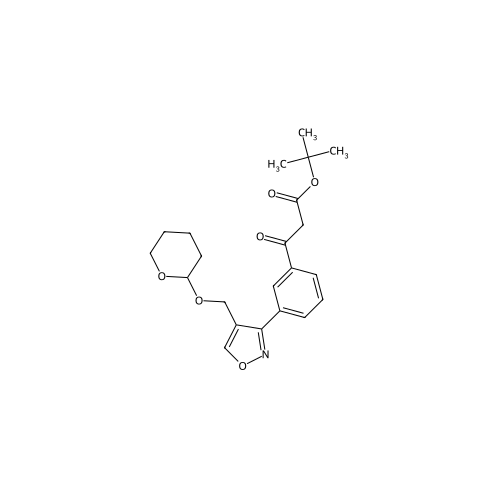 CC(C)(C)OC(=O)CC(=O)c1cccc(-c2nocc2COC2CCCCO2)c1